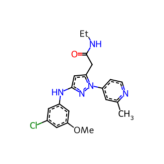 CCNC(=O)Cc1cc(Nc2cc(Cl)cc(OC)c2)nn1-c1ccnc(C)c1